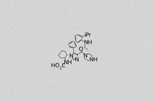 CC(C)c1ccccc1NCC[C@@H]1CNCCN1C(=O)c1ncn([C@H]2CCCC[C@@H]2NC(=O)O)c1-c1ccccc1